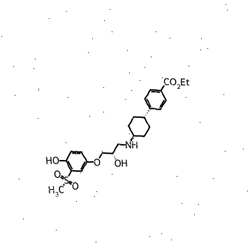 CCOC(=O)c1ccc([C@H]2CC[C@H](NC[C@H](O)COc3ccc(O)c(S(C)(=O)=O)c3)CC2)cc1